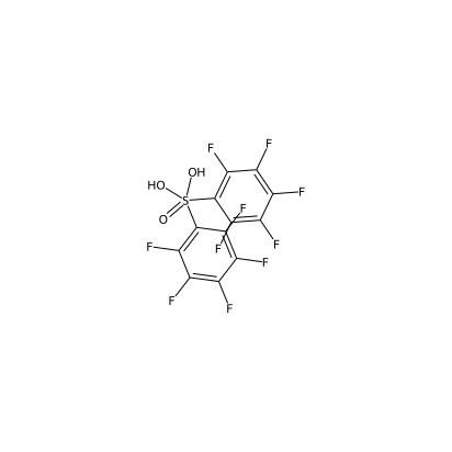 O=S(O)(O)(c1c(F)c(F)c(F)c(F)c1F)c1c(F)c(F)c(F)c(F)c1F